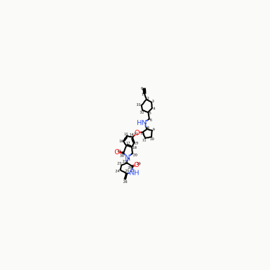 C#CC1CCC(CNC2CCCC2Oc2ccc3c(c2)CN(C2CCC(=C)NC2=O)C3=O)CC1